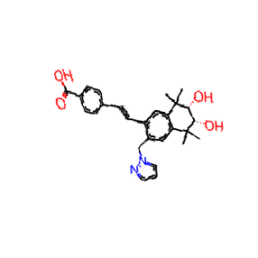 CC1(C)c2cc(C=Cc3ccc(C(=O)O)cc3)c(Cn3cccn3)cc2C(C)(C)[C@@H](O)[C@H]1O